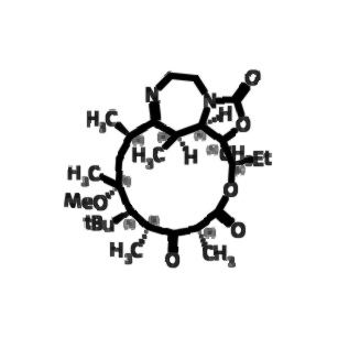 CC[C@H]1OC(=O)[C@H](C)C(=O)[C@H](C)[C@@H](C(C)(C)C)[C@](C)(OC)C[C@@H](C)C2=NCCN3C(=O)O[C@@]1(C)[C@H]3[C@H]2C